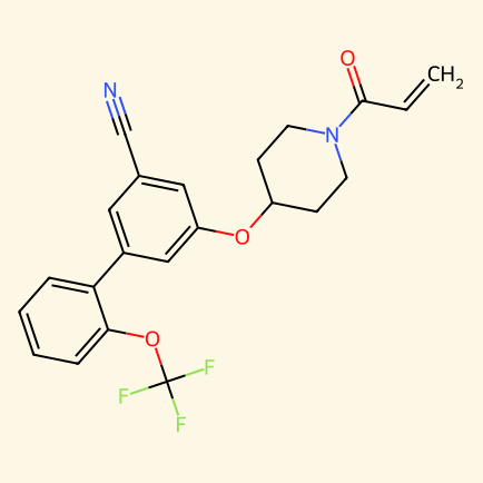 C=CC(=O)N1CCC(Oc2cc(C#N)cc(-c3ccccc3OC(F)(F)F)c2)CC1